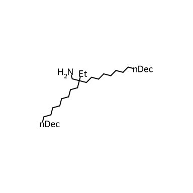 CCCCCCCCCCCCCCCCCCC(CC)(CN)CCCCCCCCCCCCCCCCCC